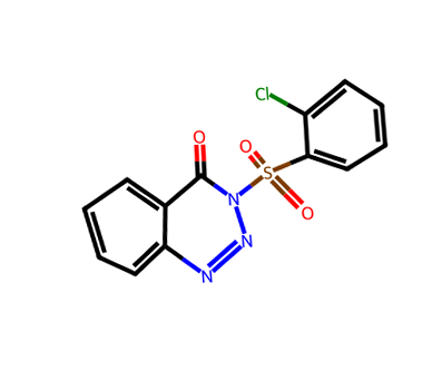 O=c1c2ccccc2nnn1S(=O)(=O)c1ccccc1Cl